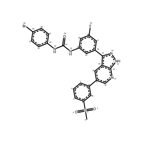 CS(=O)(=O)c1cccc(-c2cnc3[nH]nc(-c4cc(F)cc(NC(=O)Nc5ccc(Br)cc5)c4)c3c2)c1